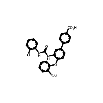 CC(C)(C)c1ccccc1Oc1ccc(-c2ccc(C(=O)O)cc2)cc1NC(=O)Nc1ccccc1Cl